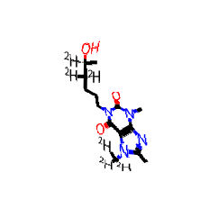 [2H]C([2H])([2H])n1c(C)nc2c1c(=O)n(CCCC([2H])([2H])[C@]([2H])(C)O)c(=O)n2C